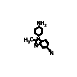 Cc1nc2cc(C#N)ccc2n1[C@H]1CC[C@@H](N)CC1